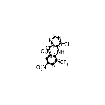 O=[N+]([O-])c1cc([N+](=O)[O-])c(Nc2c(Cl)ncnc2Cl)c(C(F)(F)F)c1